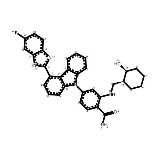 NC(=O)c1ccc(-n2c3ccccc3c3c(-c4nc5ccc(F)cc5[nH]4)cccc32)cc1NC[C@@H]1CCCC[C@@H]1O